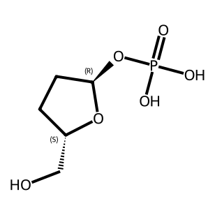 O=P(O)(O)O[C@@H]1CC[C@@H](CO)O1